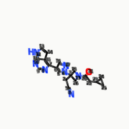 N#CCC1(n2cc(-c3ncnc4[nH]ccc34)cn2)CN(C(=O)CC2CC2)C1